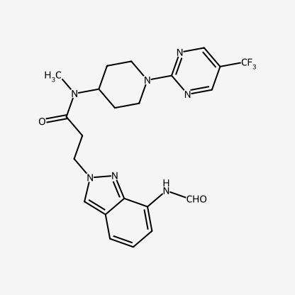 CN(C(=O)CCn1cc2cccc(NC=O)c2n1)C1CCN(c2ncc(C(F)(F)F)cn2)CC1